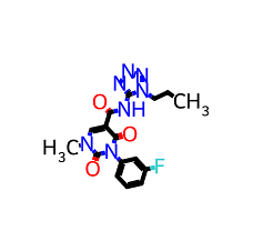 CCCn1nnnc1NC(=O)c1cn(C)c(=O)n(-c2cccc(F)c2)c1=O